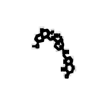 COc1ccc2ncc(F)c(C[C@H](N)[C@@H]3CC[C@@H](NCc4ccc5c(n4)NC(=O)CS5)CO3)c2c1